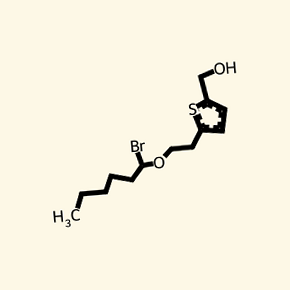 CCCCCC(Br)OCCc1ccc(CO)s1